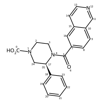 O=C(O)N1CCN(C(=O)c2ccc3cnccc3c2)[C@@H](c2ccccc2)C1